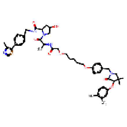 Cc1ncsc1-c1ccc(CNC(=O)C2CC(O)CN2C(=O)C(NC(=O)COCCCCCOc2ccc(CN3CC(C)(C)C(Oc4ccc(C#N)c(C(F)(F)F)c4)C3=O)cc2)C(C)(C)C)cc1